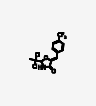 CC(Cl)(Cl)C1NC(=O)C(=Cc2ccc(C(F)(F)F)cc2)O1